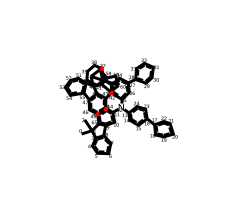 CC1(C)c2ccccc2-c2cc(N(c3ccc(-c4ccccc4)cc3)c3cc(-c4ccccc4)cc(C4=CCCCC4)c3-c3cccc4c3C3(c5ccccc5-4)C4CC5CC4CC53)ccc21